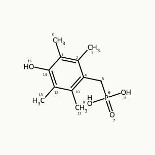 Cc1c(C)c(CP(=O)(O)O)c(C)c(C)c1O